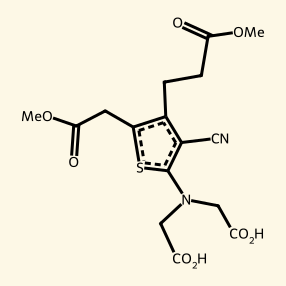 COC(=O)CCc1c(CC(=O)OC)sc(N(CC(=O)O)CC(=O)O)c1C#N